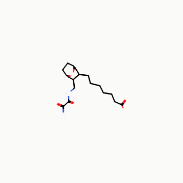 NC(=O)C(=O)NCC1C2CCC(O2)C1CCCCCCC(=O)O